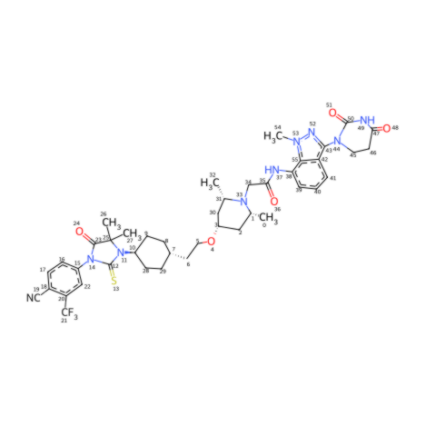 C[C@@H]1C[C@H](OCC[C@H]2CC[C@H](N3C(=S)N(c4ccc(C#N)c(C(F)(F)F)c4)C(=O)C3(C)C)CC2)C[C@H](C)N1CC(=O)Nc1cccc2c(N3CCC(=O)NC3=O)nn(C)c12